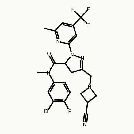 Cc1cc(C(F)(F)F)cc(N2N=C(CN3CC(C#N)C3)CC2C(=O)N(C)c2ccc(F)c(Cl)c2)n1